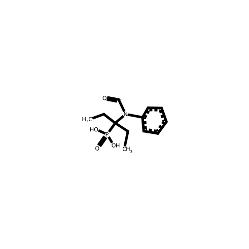 CCC(CC)(N([C]=O)c1ccccc1)P(=O)(O)O